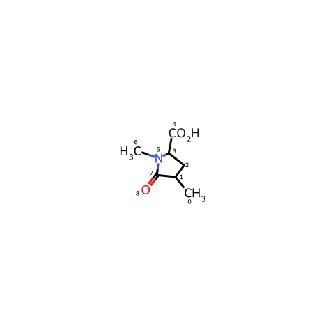 CC1CC(C(=O)O)N(C)C1=O